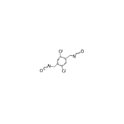 O=C=NCc1cc(Cl)c(CN=C=O)cc1Cl